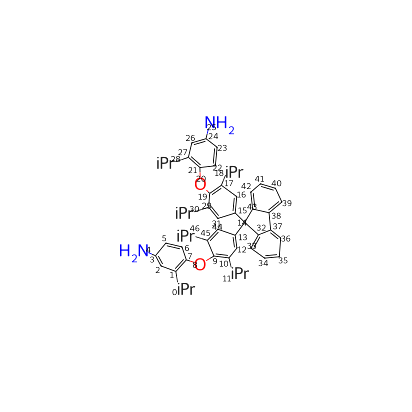 CC(C)c1cc(N)ccc1Oc1c(C(C)C)cc(C2(c3cc(C(C)C)c(Oc4ccc(N)cc4C(C)C)c(C(C)C)c3)c3ccccc3-c3ccccc32)cc1C(C)C